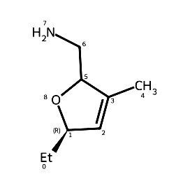 CC[C@@H]1C=C(C)C(CN)O1